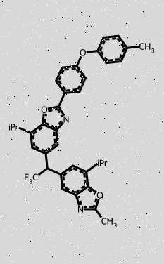 Cc1ccc(Oc2ccc(-c3nc4cc(C(c5cc(C(C)C)c6oc(C)nc6c5)C(F)(F)F)cc(C(C)C)c4o3)cc2)cc1